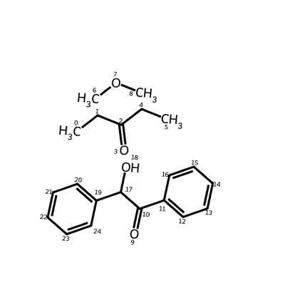 CCC(=O)CC.COC.O=C(c1ccccc1)C(O)c1ccccc1